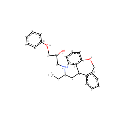 CCC(CC1c2ccccc2COc2ccccc21)NCC(O)COc1ccccc1